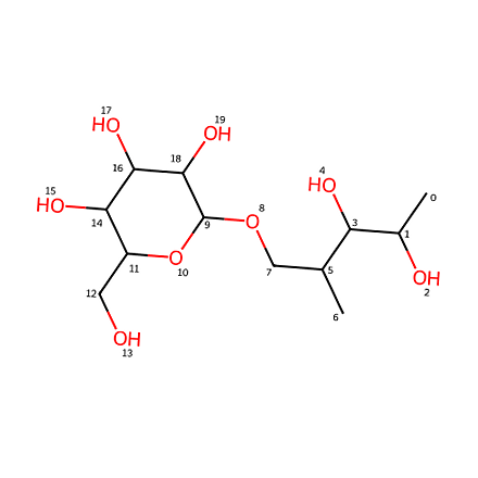 CC(O)C(O)C(C)COC1OC(CO)C(O)C(O)C1O